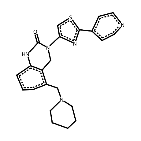 O=C1Nc2cccc(CN3CCCCC3)c2CN1c1csc(-c2ccncc2)n1